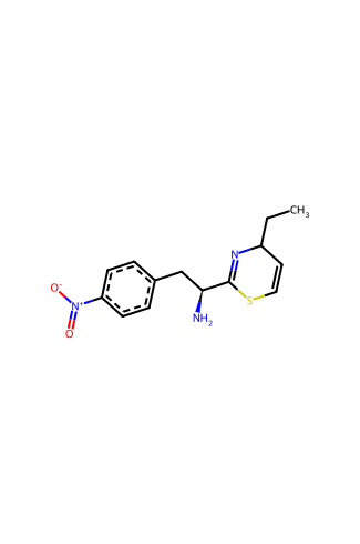 CCC1C=CSC([C@@H](N)Cc2ccc([N+](=O)[O-])cc2)=N1